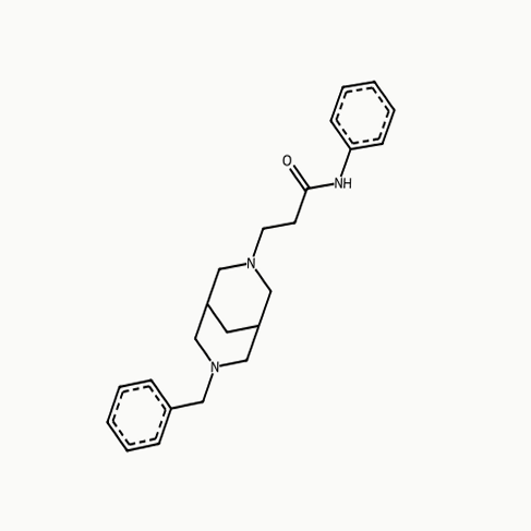 O=C(CCN1CC2CC(C1)CN(Cc1ccccc1)C2)Nc1ccccc1